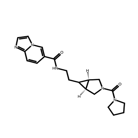 O=C(NCCC1[C@H]2CN(C(=O)N3CCCC3)C[C@@H]12)c1ccc2nccn2c1